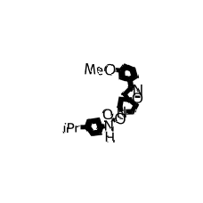 COc1cccc(C2=NOC3(CCN(OC(=O)Nc4ccc(C(C)C)cc4)CC3)C2)c1